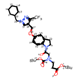 CC(C)(C)OC(=O)CCN(CC(=O)N1CCc2cc(OCc3cn(CC4CCCCC4)nc3C(F)(F)F)ccc21)C(=O)OC(C)(C)C